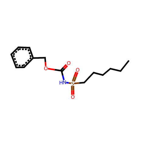 CCCCCCS(=O)(=O)NC(=O)OCc1ccccc1